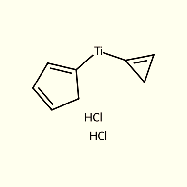 C1=CC[C]([Ti][C]2=CC2)=C1.Cl.Cl